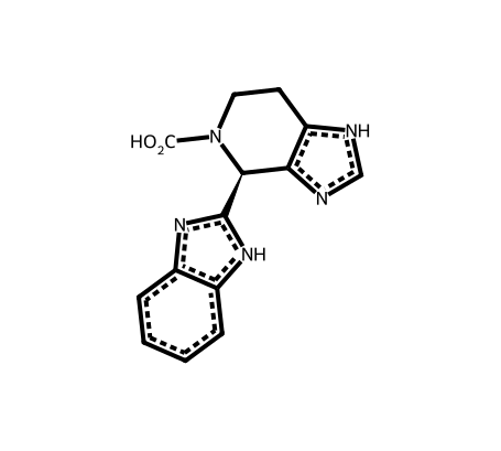 O=C(O)N1CCc2[nH]cnc2[C@H]1c1nc2ccccc2[nH]1